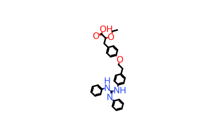 CCOC(Cc1ccc(OCCc2ccc(N/C(=N\c3ccccc3)Nc3ccccc3)cc2)cc1)C(=O)O